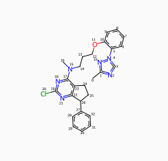 Cc1ncn(-c2ccccc2OCCCN(C)c2nc(Cl)nc3c2CCC3c2ccccc2)n1